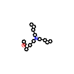 c1ccc(-c2cc3ccccc3o2)c(-c2ccc(-c3ccc(N(c4ccc(-c5ccc6c(ccc7ccccc76)c5)cc4)c4ccc(-c5ccc6c(ccc7ccccc76)c5)cc4)cc3)cc2)c1